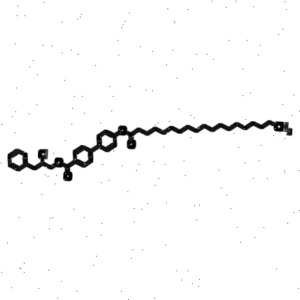 CCCCCCCCCCCCCCCCCCC(=O)Oc1ccc(-c2ccc(C(=O)OCC(Cl)Cc3ccccc3)cc2)cc1